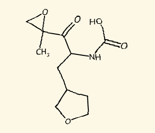 CC1(C(=O)C(CC2CCOC2)NC(=O)O)CO1